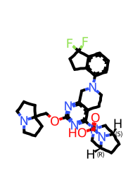 O=C(O)N1[C@@H]2CC[C@H]1CN(c1nc(OCC34CCCN3CCC4)nc3c1CCN(c1cccc4c1CCC4(F)F)C3)C2